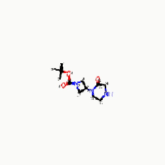 CC(C)(C)OC(=O)N1CC(N2CCNCC2=O)C1